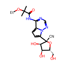 CCOC(C)(C)C(=O)Nc1ncnn2c([C@]3(C#N)O[C@H](CO)[C@@H](O)[C@H]3O)ccc12